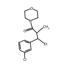 CCC(c1cccc(Cl)c1)C(C)C(=O)N1CCOCC1